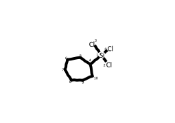 Cl[Si](Cl)(Cl)C1CCCCCC1